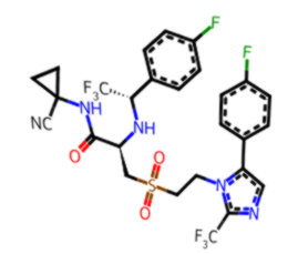 N#CC1(NC(=O)[C@H](CS(=O)(=O)CCn2c(-c3ccc(F)cc3)cnc2C(F)(F)F)N[C@@H](c2ccc(F)cc2)C(F)(F)F)CC1